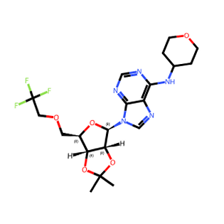 CC1(C)O[C@@H]2[C@H](O1)[C@@H](COCC(F)(F)F)O[C@H]2n1cnc2c(NC3CCOCC3)ncnc21